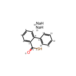 O=C(S)c1ccccc1-c1ccccc1.[NaH].[NaH]